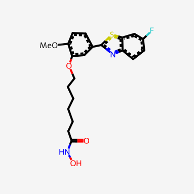 COc1ccc(-c2nc3ccc(F)cc3s2)cc1OCCCCCCC(=O)NO